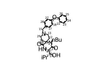 CCCCN1C(=O)[C@H]([C@H](O)C(C)C)NC(=O)C12CCN(Cc1ccc(Oc3ccccc3)cc1)CC2